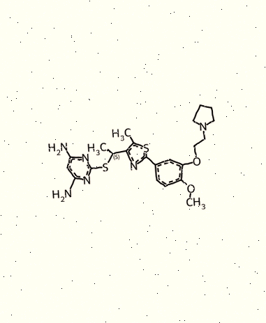 COc1ccc(-c2nc([C@H](C)Sc3nc(N)cc(N)n3)c(C)s2)cc1OCCN1CCCC1